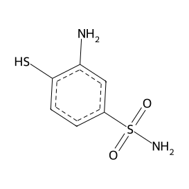 Nc1cc(S(N)(=O)=O)ccc1S